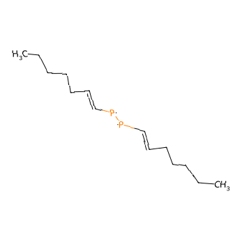 CCCCCC=C[P][P]C=CCCCCC